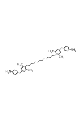 Cc1cc(Cc2ccc(N)cc2)cc(C)c1CCCCCCCCCCCCCCc1c(C)cc(Cc2ccc(N)cc2)cc1C